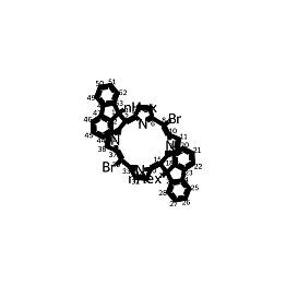 CCCCCCC1(C2=C3C=CC(=N3)C(Br)=C3C=CC(=N3)C(C3(CCCCCC)c4ccccc4-c4ccccc43)=C3C=CC(=N3)C(Br)=C3C=CC2=N3)c2ccccc2-c2ccccc21